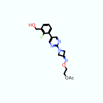 CC(=O)OCCON=C1CN(c2ncc(-c3cccc(CO)c3F)cn2)C1